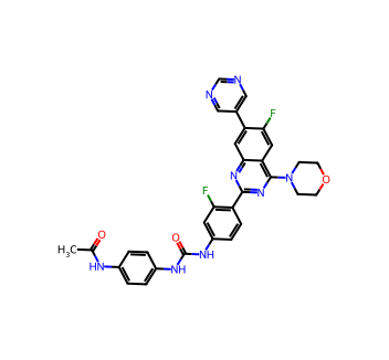 CC(=O)Nc1ccc(NC(=O)Nc2ccc(-c3nc(N4CCOCC4)c4cc(F)c(-c5cncnc5)cc4n3)c(F)c2)cc1